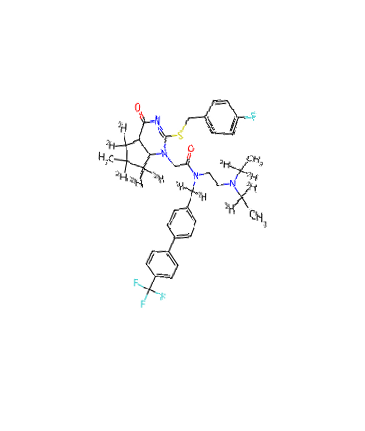 [2H]C([2H])(C)N(CCN(C(=O)CN1C(SCc2ccc(F)cc2)=NC(=O)C2C1C([2H])([2H])C([2H])(C)C2([2H])[2H])C([2H])([2H])c1ccc(-c2ccc(C(F)(F)F)cc2)cc1)C([2H])([2H])C